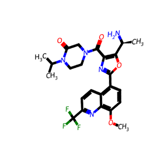 COc1ccc(-c2nc(C(=O)N3CCN(C(C)C)C(=O)C3)c([C@H](C)N)o2)c2ccc(C(F)(F)F)nc12